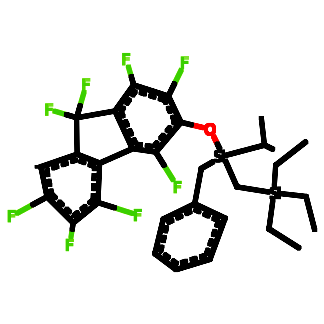 CC[Si](CC)(CC)C[Si](Cc1ccccc1)(Oc1c(F)c(F)c2c(c1F)-c1c([c]c(F)c(F)c1F)C2(F)F)C(C)C